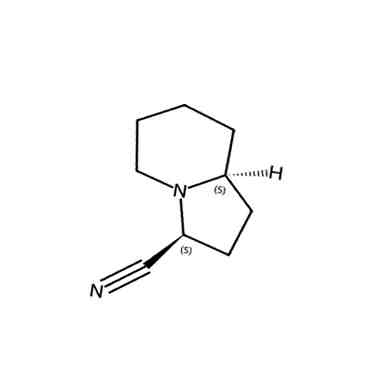 N#C[C@@H]1CC[C@@H]2CCCCN21